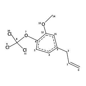 C=CCc1ccc(OC(Cl)(Cl)Cl)c(OC)c1